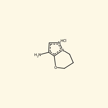 Cl.Nc1cnn2c1OCCC2